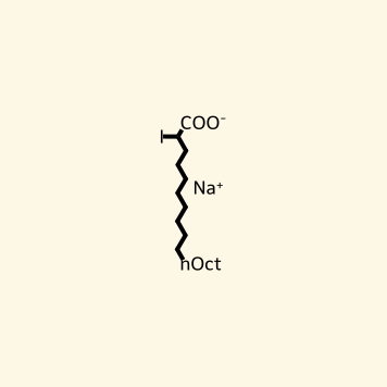 CCCCCCCCCCCCCCCCC(I)C(=O)[O-].[Na+]